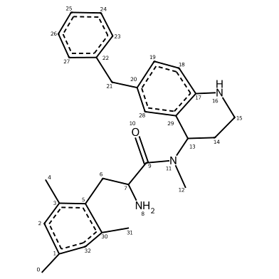 Cc1cc(C)c(CC(N)C(=O)N(C)C2CCNc3ccc(Cc4ccccc4)cc32)c(C)c1